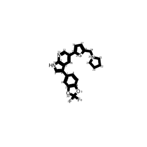 FC1(F)Oc2ccc(-c3c[nH]c4ncc(-c5ccc(CN6CCCC6)s5)cc34)cc2O1